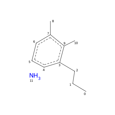 CCCc1cccc(C)c1C.N